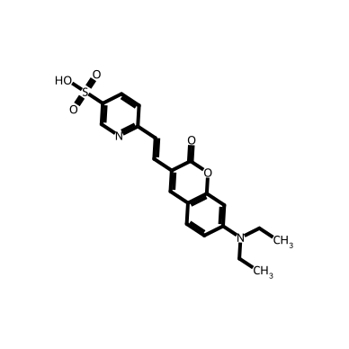 CCN(CC)c1ccc2cc(/C=C/c3ccc(S(=O)(=O)O)cn3)c(=O)oc2c1